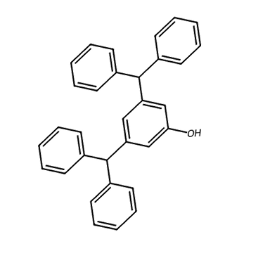 Oc1cc(C(c2ccccc2)c2ccccc2)cc(C(c2ccccc2)c2ccccc2)c1